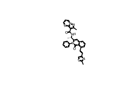 Cc1nc(/C=C/c2cccc3cc([C@H](C)NC(=O)c4c(C)nn5cccnc45)n(-c4ccccc4)c(=O)c23)cs1